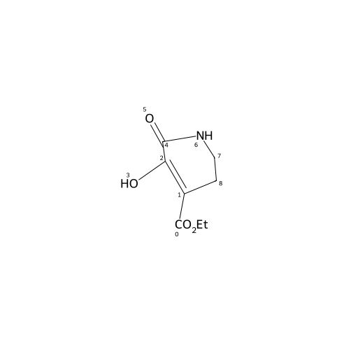 CCOC(=O)C1=C(O)C(=O)NCC1